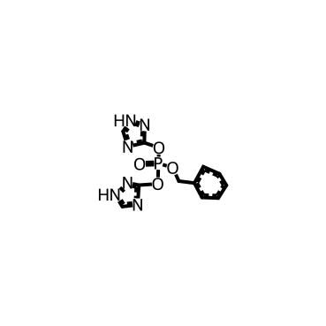 O=P(OCc1ccccc1)(Oc1nc[nH]n1)Oc1nc[nH]n1